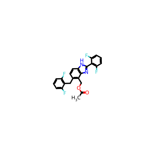 CC(=O)OCc1c(Cc2c(F)cccc2F)ccc2[nH]c(-c3c(F)cccc3F)nc12